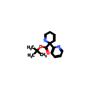 CC(C)(C)OC(=O)C1(c2ccccn2)C=CCC=N1